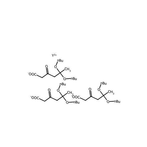 CCCCOC(C)(CC(=O)CC(=O)[O-])OCCCC.CCCCOC(C)(CC(=O)CC(=O)[O-])OCCCC.CCCCOC(C)(CC(=O)CC(=O)[O-])OCCCC.[Y+3]